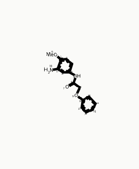 COc1ccc(NC(=O)COc2ccccc2)cc1N